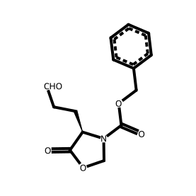 O=CCC[C@@H]1C(=O)OCN1C(=O)OCc1ccccc1